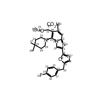 Cc1cc2nc(-c3ncc(Cc4ccc(F)cc4)o3)cn2c(N2CCC(C)(C)CC2)c1[C@H](OC(C)(C)C)C(=O)O